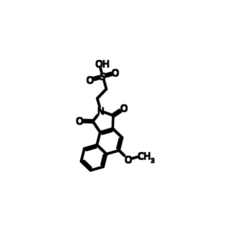 COc1cc2c(c3ccccc13)C(=O)N(CCS(=O)(=O)O)C2=O